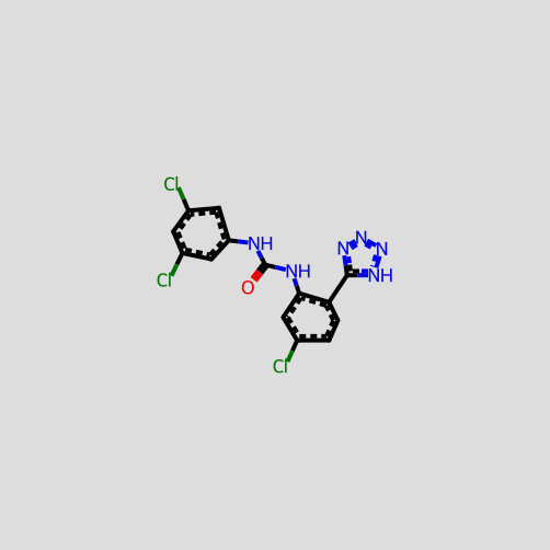 O=C(Nc1cc(Cl)cc(Cl)c1)Nc1cc(Cl)ccc1-c1nnn[nH]1